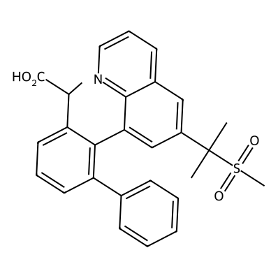 CC(C(=O)O)c1cccc(-c2ccccc2)c1-c1cc(C(C)(C)S(C)(=O)=O)cc2cccnc12